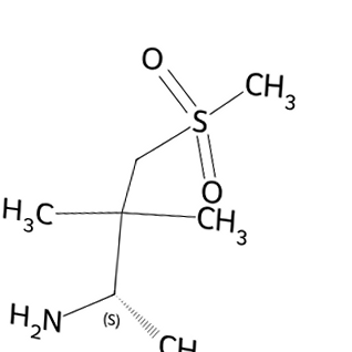 C[C@H](N)C(C)(C)CS(C)(=O)=O